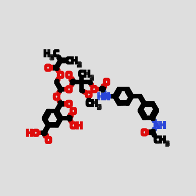 C=C(C)C(=O)OCC(OC(=O)c1ccc(C(=O)O)cc1C(=O)O)OC(=O)C(C)(COC)COC(=O)Nc1ccc(Cc2ccc(NC(C)=O)cc2)cc1